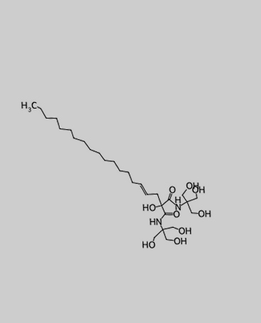 CCCCCCCCCCCCCCCC=CCC(O)(C(=O)NC(CO)(CO)CO)C(=O)NC(CO)(CO)CO